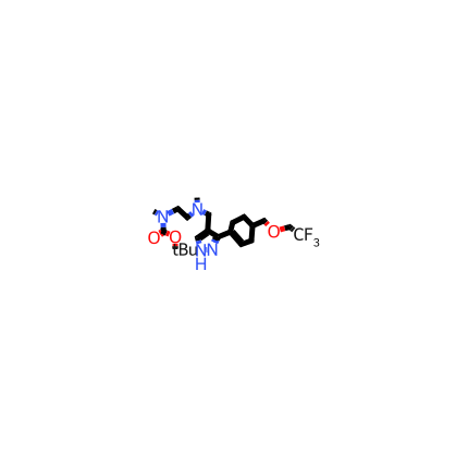 CN(CCN(C)C(=O)OC(C)(C)C)Cc1c[nH]nc1C1=CCC(COCC(F)(F)F)CC1